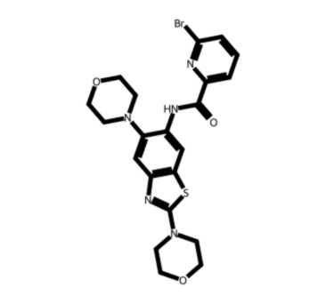 O=C(Nc1cc2sc(N3CCOCC3)nc2cc1N1CCOCC1)c1cccc(Br)n1